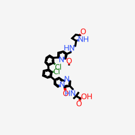 COc1nc(-c2cccc(-c3cccc(-c4ccn5c(=O)c(CNC(C)(C)C(=O)O)cnc5c4)c3Cl)c2Cl)ccc1CNCC1CCC(=O)N1